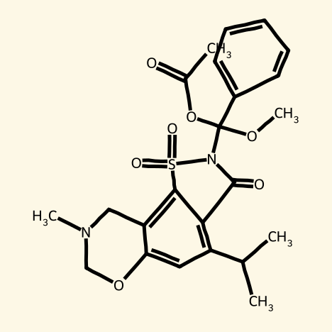 COC(OC(C)=O)(c1ccccc1)N1C(=O)c2c(C(C)C)cc3c(c2S1(=O)=O)CN(C)CO3